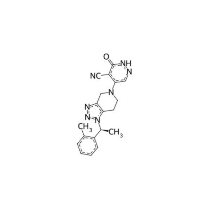 Cc1ccccc1[C@H](C)n1nnc2c1CCN(c1cn[nH]c(=O)c1C#N)C2